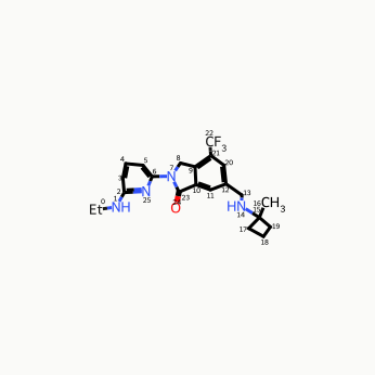 CCNc1cccc(N2Cc3c(cc(CNC4(C)CCC4)cc3C(F)(F)F)C2=O)n1